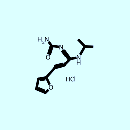 CC(C)NC(C=Cc1ccco1)=NC(N)=O.Cl